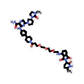 C=C1CCC(N2C(=O)c3cccc(NCCOCCOCCOCCC(=O)N4CCC(c5ccc(Nc6nc(N7CCC[C@@H](N8CCN(C)C8=O)C7)cnc6C(N)=O)cc5)CC4)c3C2=O)C(=O)N1